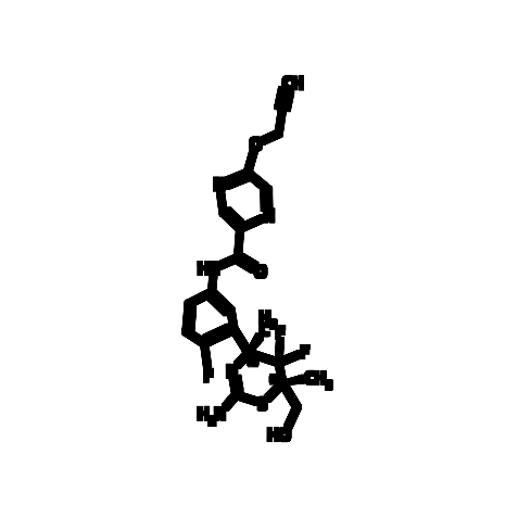 C#CCOc1cnc(C(=O)Nc2ccc(F)c([C@@]3(C)N=C(N)S[C@@](C)(CO)C3(F)F)c2)cn1